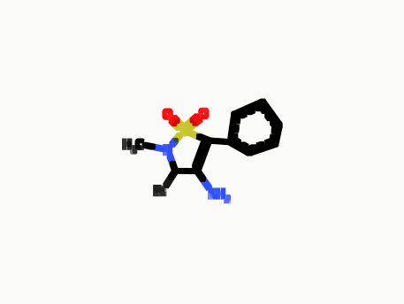 CCC1C(N)=C(c2ccccc2)S(=O)(=O)N1C